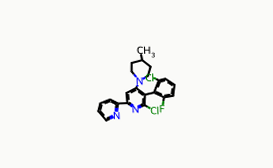 CC1CCN(c2cc(-c3ccccn3)nc(Cl)c2-c2c(F)cccc2Cl)CC1